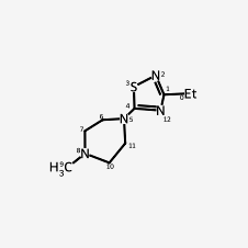 CCc1nsc(N2CCN(C)CC2)n1